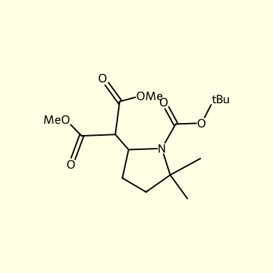 COC(=O)C(C(=O)OC)C1CCC(C)(C)N1C(=O)OC(C)(C)C